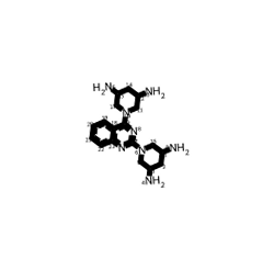 NC1CC(N)CN(c2nc(N3CC(N)CC(N)C3)c3ccccc3n2)C1